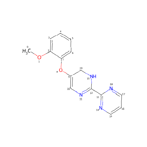 COc1ccccc1OC1=CN=C(c2ncccn2)NC1